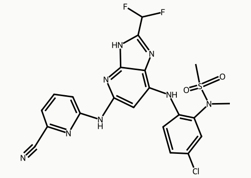 CN(c1cc(Cl)ccc1Nc1cc(Nc2cccc(C#N)n2)nc2[nH]c(C(F)F)nc12)S(C)(=O)=O